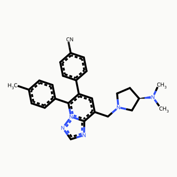 Cc1ccc(-c2c(-c3ccc(C#N)cc3)cc(CN3CC[C@@H](N(C)C)C3)c3ncnn23)cc1